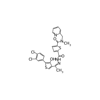 C/C(=N/NC(=O)c1ccc(C(=O)N(C)Cc2ccccn2)s1)c1csc(-c2ccc(Cl)c(Cl)c2)c1O